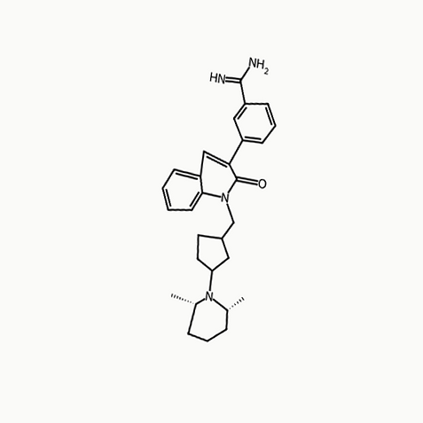 C[C@@H]1CCC[C@H](C)N1C1CCC(Cn2c(=O)c(-c3cccc(C(=N)N)c3)cc3ccccc32)C1